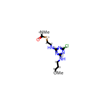 CNC(=O)SCCNc1nc(Cl)nc(NCCCOC)n1